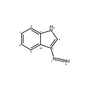 N=Nc1c[nH]c2ccccc12